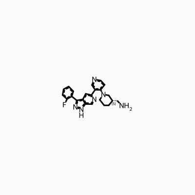 NC[C@@H]1CCCN(c2ccncc2-c2cc3c(-c4ccccc4F)n[nH]c3cn2)C1